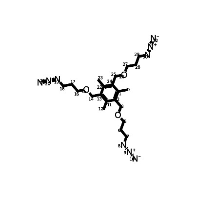 Cc1c(COCCCN=[N+]=[N-])c(C)c(COCCCN=[N+]=[N-])c(C)c1COCCCN=[N+]=[N-]